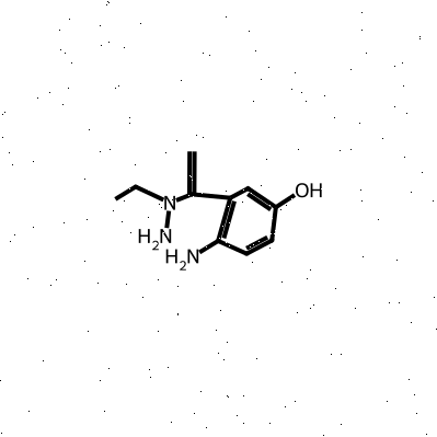 C=C(c1cc(O)ccc1N)N(N)CC